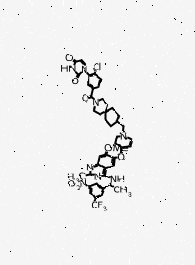 COc1cc2nc(C)nc(NC(C)c3cc([N+](=O)[O-])cc(C(F)(F)F)c3)c2cc1OC1CCN(CC2CCC3(CC2)CCN(C(=O)c2ccc(Cl)c(-n4ccc(=O)[nH]c4=O)c2)CC3)CC1